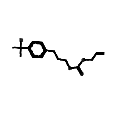 C=CCOC(=O)OCCCc1ccc(C(C)(C)CC)cc1